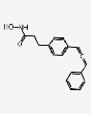 O=C(CCc1ccc(C=C=Cc2ccccc2)cc1)NO